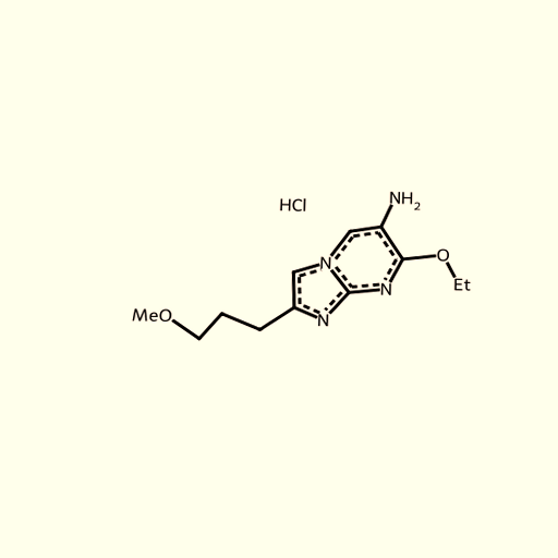 CCOc1nc2nc(CCCOC)cn2cc1N.Cl